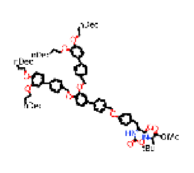 CCCCCCCCCCCCOc1ccc(-c2ccc(COc3ccc(-c4ccc(COc5ccc(CC(NC(=O)OC(C)(C)C)C(=O)NC(C)C(=O)OC)cc5)cc4)cc3OCc3ccc(-c4ccc(OCCCCCCCCCCCC)c(OCCCCCCCCCCCC)c4)cc3)cc2)cc1OCCCCCCCCCCCC